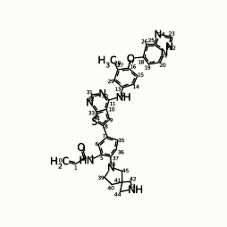 C=CC(=O)Nc1cc(-c2cc3c(Nc4ccc(Oc5ccn6ncnc6c5)c(C)c4)ncnc3s2)ccc1N1CCC2(CNC2)C1